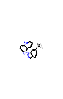 O=[N+]([O-])c1ccc2cn[nH]c2c1.c1ccc2ncccc2c1